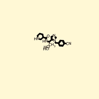 C[C@H](NC(=O)C1CCCNC1)c1cncn1Cc1ccc(C#N)cc1.Cl.Cl